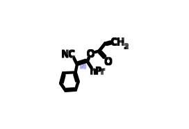 C=CC(=O)O/C(CCC)=C(\C#N)c1ccccc1